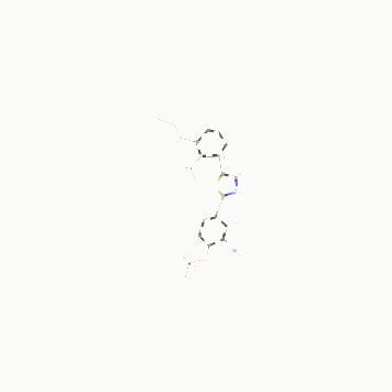 BCCCc1cccc(-c2cnc(-c3ccc(OC(C)C)c(N)c3)s2)c1CC